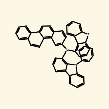 c1ccc(-n2c3ccccc3c3cccc(N(c4ccc5ccc6c7ccccc7ccc6c5c4)c4cccc5sc6ccccc6c45)c32)cc1